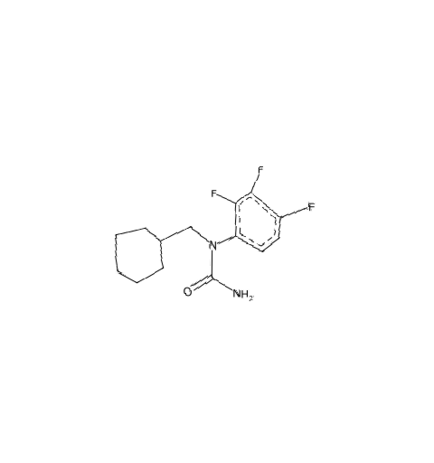 NC(=O)N(CC1CCCCC1)c1ccc(F)c(F)c1F